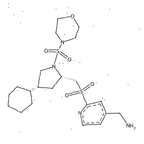 NCc1ccnc(S(=O)(=O)C[C@@H]2C[C@H](C3CCCCC3)CN2S(=O)(=O)N2CCOCC2)c1